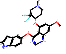 COc1cc(O[C@H]2CCN(C)CC2(F)F)c2c(Oc3ccc4[nH]c(C)cc4c3)ncnc2c1